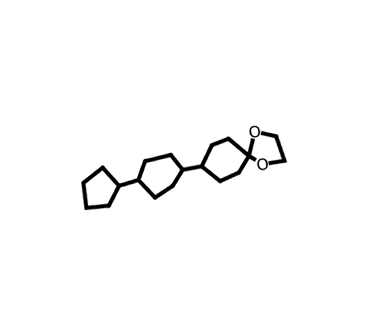 C1CCC(C2CCC(C3CCC4(CC3)OCCO4)CC2)C1